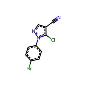 N#Cc1cnn(-c2ccc(Br)cc2)c1Cl